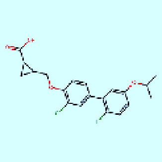 CC(C)Oc1ccc(F)c(-c2ccc(OCC3CC3C(=O)O)c(Cl)c2)c1